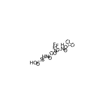 O=C(O)CCSSCCNC(=O)c1cccc(Oc2cc(CNC(=O)OCC3c4ccccc4-c4ccccc43)cc(C(F)(F)F)n2)c1